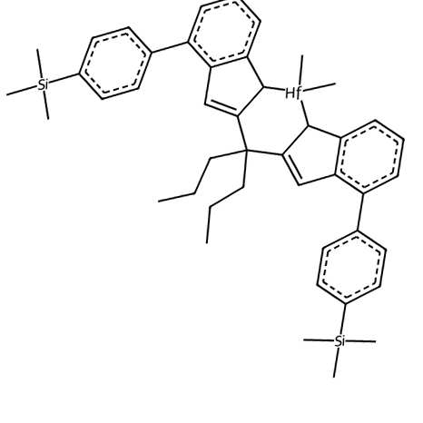 CCCC1(CCC)C2=Cc3c(-c4ccc([Si](C)(C)C)cc4)cccc3[CH]2[Hf]([CH3])([CH3])[CH]2C1=Cc1c(-c3ccc([Si](C)(C)C)cc3)cccc12